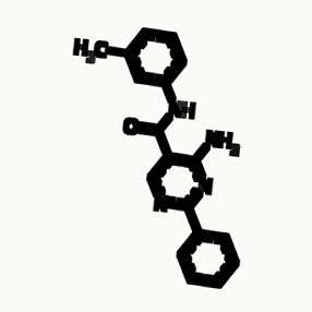 Cc1cccc(NC(=O)c2cnc(-c3ccccc3)nc2N)c1